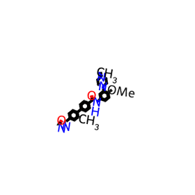 COc1ccc(NC(=O)c2ccc(-c3ccc(-c4nnco4)cc3C)cc2)cc1N1CCN(C)CC1